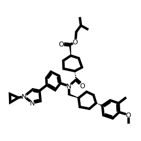 COc1ccc([C@H]2CC[C@H](CN(c3cccc(-c4cnn(C5CC5)c4)c3)C(=O)[C@H]3CC[C@H](C(=O)OCC(C)C)CC3)CC2)cc1C